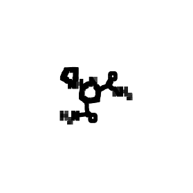 NC(=O)c1ccnc(C(N)=O)c1.c1cc[nH]c1